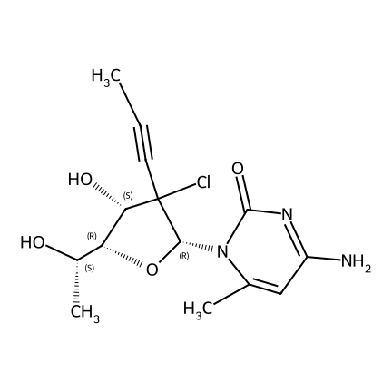 CC#CC1(Cl)[C@@H](O)[C@@H]([C@H](C)O)O[C@H]1n1c(C)cc(N)nc1=O